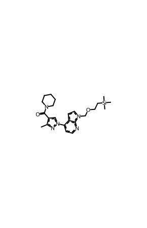 Cc1nn(-c2ccnc3c2ccn3COCC[Si](C)(C)C)cc1C(=O)N1CCCCC1